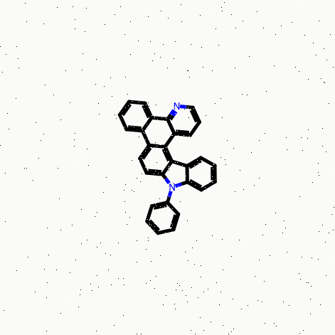 c1ccc(-n2c3ccccc3c3c4c(ccc32)c2ccccc2c2ncccc24)cc1